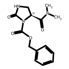 CN(C)C(=O)[C@@H]1CNC(=O)N1C(=O)OCc1ccccc1